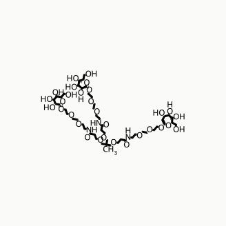 CC(COCCC(=O)NCCOCCOCCOC1=CC(O)C(O)[C@@H](O)C(CO)O1)(COCCC(=O)NCCOCCOCCO[C@H]1OC(CO)[C@@H](O)C(O)C1O)COCCC(=O)NCCOCCOCCO[C@H]1OC(CO)[C@@H](O)C(O)C1O